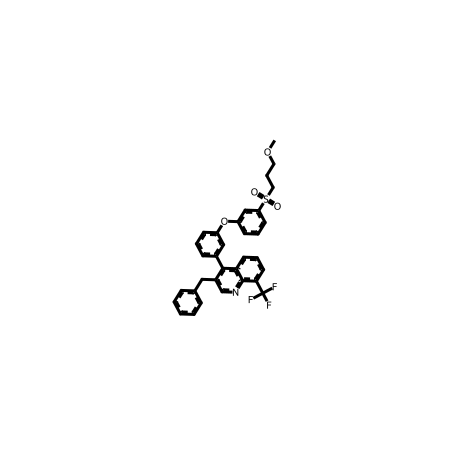 COCCCS(=O)(=O)c1cccc(Oc2cccc(-c3c(Cc4ccccc4)cnc4c(C(F)(F)F)cccc34)c2)c1